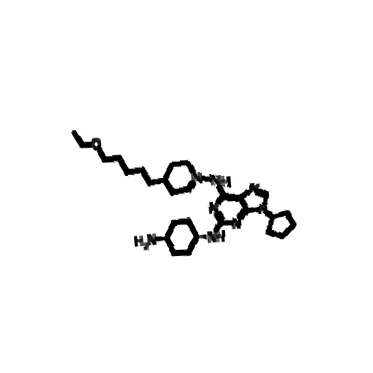 CCOCCCCCC1CCN(Nc2nc(N[C@H]3CC[C@H](N)CC3)nc3c2ncn3C2CCCC2)CC1